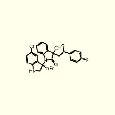 CCCC1(N2C(=O)C(O)(CC(=O)c3ccc(F)cc3)c3ccccc32)CNc2ccc(Cl)cc21